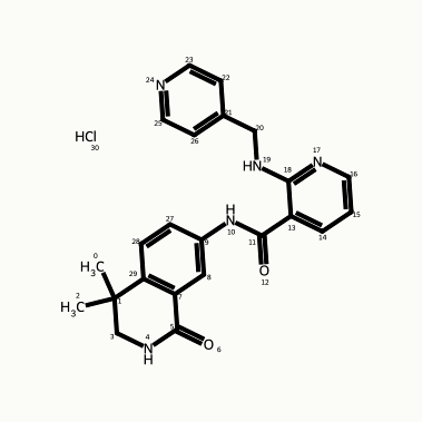 CC1(C)CNC(=O)c2cc(NC(=O)c3cccnc3NCc3ccncc3)ccc21.Cl